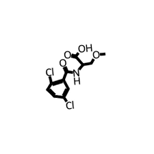 COCC(NC(=O)c1cc(Cl)ccc1Cl)C(=O)O